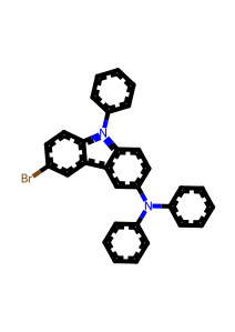 Brc1ccc2c(c1)c1cc(N(c3ccccc3)c3ccccc3)ccc1n2-c1ccccc1